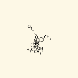 Cc1ccc(S(=O)(=O)N2CCC[C@]2(C(=O)O)C(C)(C)C)c(OCCCCC=O)c1